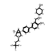 Nc1ncc(-c2ccc([C@@]34C[C@@H]3CN(CCC(F)(F)F)C4)cc2)cc1CN[C@H]1CC[C@H](O)CC1